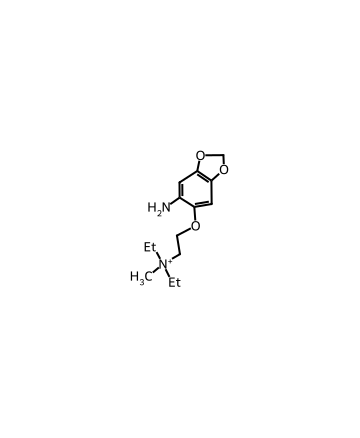 CC[N+](C)(CC)CCOc1cc2c(cc1N)OCO2